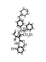 CCOC(=O)C1=C(C(=O)Nc2c(CC)cccc2CC)[C@@H]2C=C[C@@]1([C@H](Nc1ccccc1)c1ccc(CN3CCOCC3)cc1)O2